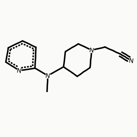 CN(c1ccccn1)C1CCN(CC#N)CC1